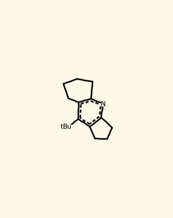 CC(C)(C)c1c2c(nc3c1CCC3)CCCC2